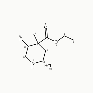 CCOC(=O)C1(C)CCNCC1F.Cl